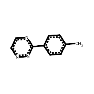 Cc1ccc(-c2nccnn2)cc1